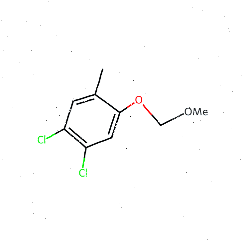 COCOc1cc(Cl)c(Cl)cc1C